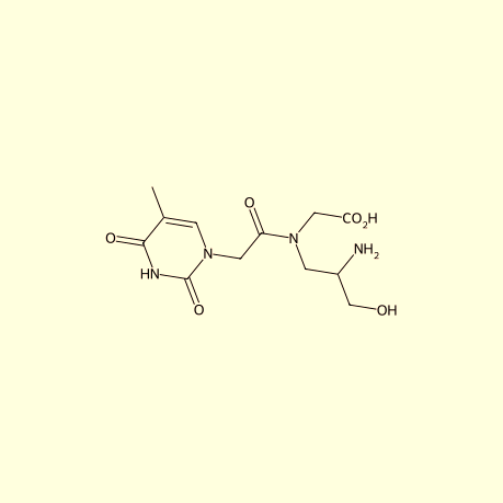 Cc1cn(CC(=O)N(CC(=O)O)CC(N)CO)c(=O)[nH]c1=O